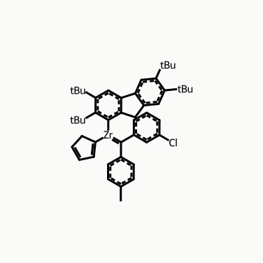 Cc1ccc(/[C](c2cccc(Cl)c2)=[Zr](\[C]2=CC=CC2)[c]2c3c(cc(C(C)(C)C)c2C(C)(C)C)-c2cc(C(C)(C)C)c(C(C)(C)C)cc2C3)cc1